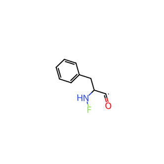 O=[C]C(Cc1ccccc1)NF